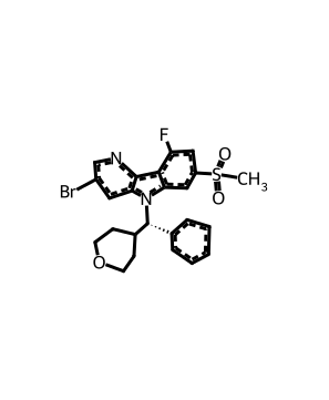 CS(=O)(=O)c1cc(F)c2c3ncc(Br)cc3n([C@H](c3ccccc3)C3CCOCC3)c2c1